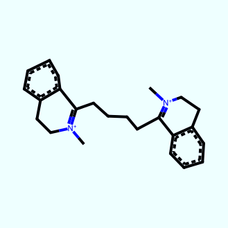 C[N+]1=C(CCCCC2=[N+](C)CCc3ccccc32)c2ccccc2CC1